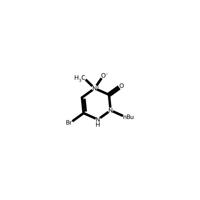 CCCCN1NC(Br)=C[N+](C)([O-])C1=O